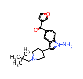 CC(C)(C)CN1CCC(c2cn(N)c3ccc(C(=O)c4ccoc4)cc23)CC1